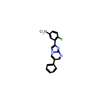 O=[N+]([O-])c1ccc(F)c(-c2cn3cc(-c4ccccc4)cnc3n2)c1